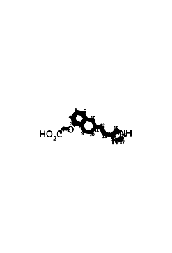 O=C(O)COc1cccc2c1CCC(C=Cc1c[nH]cn1)C2